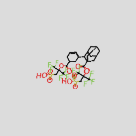 O=C(OC(CS(=O)(=O)O)(C(F)(F)F)C(F)(F)F)C1CC=CC(C2C3CC4CC(C3)CC2(C(=O)OC(CS(=O)(=O)O)(C(F)(F)F)C(F)(F)F)C4)C1